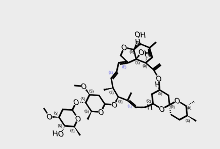 C=C1O[C@H]2C[C@@H](C/C=C(\C)[C@@H](OC3C[C@H](OC)[C@@H](OC4C[C@H](OC)[C@@H](O)[C@H](C)O4)[C@H](C)O3)[C@@H](C)/C=C/C=C3\CO[C@@H]4[C@H](O)C(C)=C[C@@H]1[C@]34O)O[C@@]1(CC[C@H](C)[C@@H](C)O1)C2